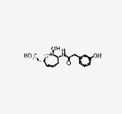 O=C(O)C[C@H]1C=CC[C@H](NC(=O)Cc2cccc(O)c2)B(O)O1